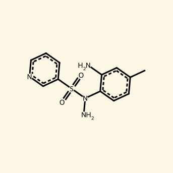 Cc1ccc(N(N)S(=O)(=O)c2cccnc2)c(N)c1